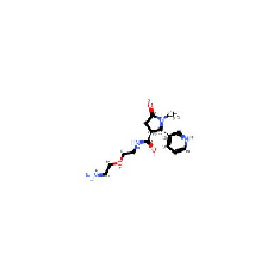 CN1C(=O)C[C@H](C(=O)NCCOCCN)[C@H]1c1cccnc1